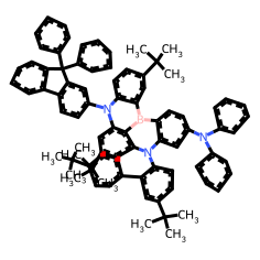 CC(C)(C)c1ccc(-c2cc(C(C)(C)C)ccc2N2c3cc(N(c4ccccc4)c4ccccc4)ccc3B3c4cc(C(C)(C)C)ccc4N(c4ccc5c(c4)C(c4ccccc4)(c4ccccc4)c4ccccc4-5)c4cc(C(C)(C)C)cc2c43)cc1